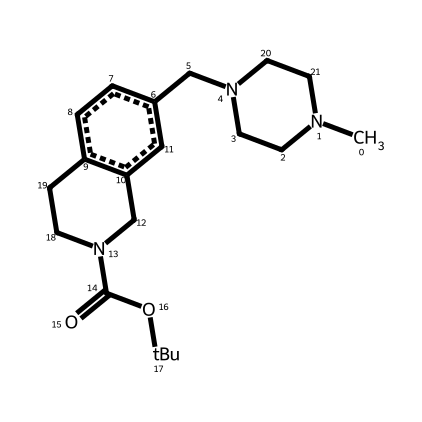 CN1CCN(Cc2ccc3c(c2)CN(C(=O)OC(C)(C)C)CC3)CC1